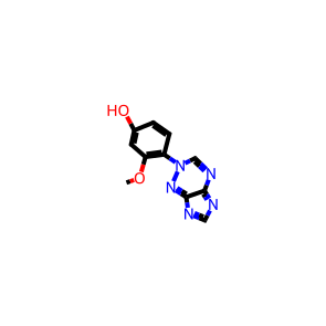 COc1cc(O)ccc1-n1cnc2ncnc-2n1